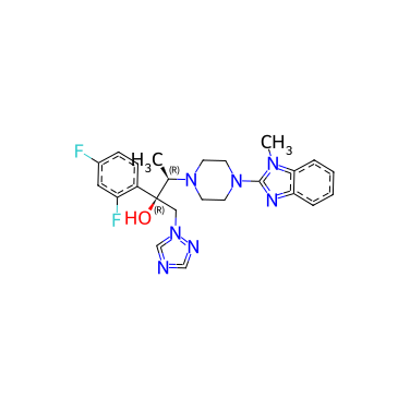 C[C@@H](N1CCN(c2nc3ccccc3n2C)CC1)[C@](O)(Cn1cncn1)c1ccc(F)cc1F